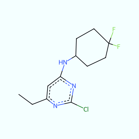 CCc1cc(NC2CCC(F)(F)CC2)nc(Cl)n1